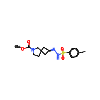 Cc1ccc(S(=O)(=O)NN=C2CC3(CCN(C(=O)OC(C)(C)C)C3)C2)cc1